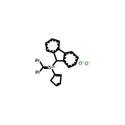 CC(C)[C](C(C)C)=[Zr+2]([C]1=CC=CC1)[CH]1c2ccccc2-c2ccccc21.[Cl-].[Cl-]